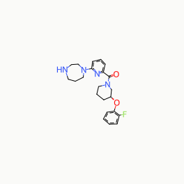 O=C(c1cccc(N2CCCNCC2)n1)N1CCC[C@H](Oc2ccccc2F)C1